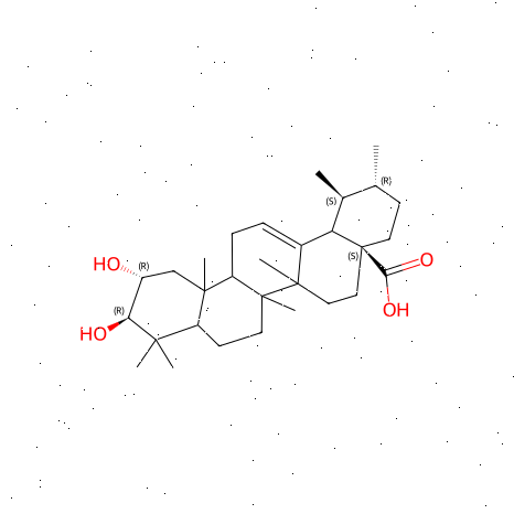 C[C@@H]1CC[C@]2(C(=O)O)CCC3(C)C(=CCC4C5(C)C[C@@H](O)[C@H](O)C(C)(C)C5CCC43C)C2[C@H]1C